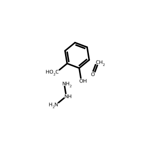 C=O.NNN.O=C(O)c1ccccc1O